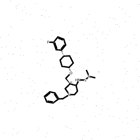 CN(C)SNC1CCN(Cc2ccccc2)C[C@H]1CO[C@H]1CC[C@@H](c2cccc(F)c2)CC1